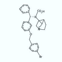 O=C(O)N(C1CN2CCC1CC2)[C@@H](c1ccccc1)c1cccc(OCc2ccc(Br)cc2)c1